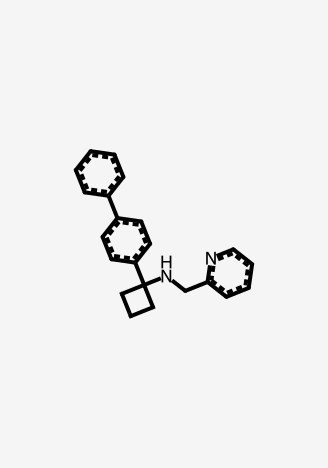 c1ccc(-c2ccc(C3(NCc4ccccn4)CCC3)cc2)cc1